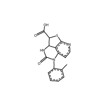 Cc1ccccc1N1C(=O)NC2c3c1ccnc3SC2C(=O)O